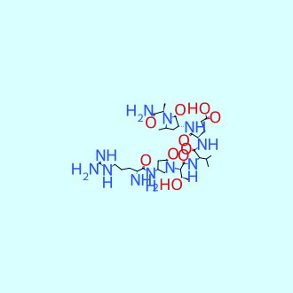 CC(C)[C@@H](NC(=O)[C@@H]([C@@H](C)O)N1C[C@@H](NC(=O)[C@H](N)CCCNC(=N)N)CC1=O)C(=O)N[C@H](CCC(=O)O)C(=O)N[C@@H]1CC(C)N([C@H](C)C(N)=O)C1=O